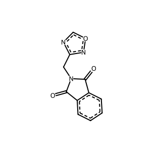 O=C1c2ccccc2C(=O)N1Cc1ncon1